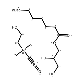 CCCCCCCCCCCCCCCC(=O)OCC(O)CO.C[N+](C)(C#P=O)CCO